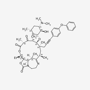 CC[C@H]1OC(=O)[C@H](C)C(=O)[C@H](C)[C@@H](O[C@@H]2O[C@H](C)C[C@H](N(C)C)[C@H]2O)[C@@](C)(CC#Cc2ccc(Oc3ccccc3)cc2)C[C@@H](C)C2=NCCN3C(=O)O[C@@]1(C)[C@H]3[C@H]2C